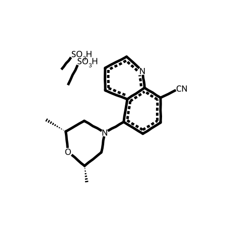 CS(=O)(=O)O.CS(=O)(=O)O.C[C@@H]1CN(c2ccc(C#N)c3ncccc23)C[C@H](C)O1